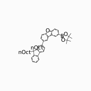 CCCCCCCCC1(CCCCCCCC)c2ccccc2-c2ccc(-c3ccc4oc5ccc(B6OC(C)(C)C(C)(C)O6)cc5c4c3)cc21